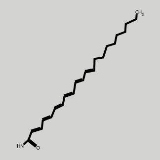 CCCCCCCCCC=CC=CC=CC=CC=CC=CC([NH])=O